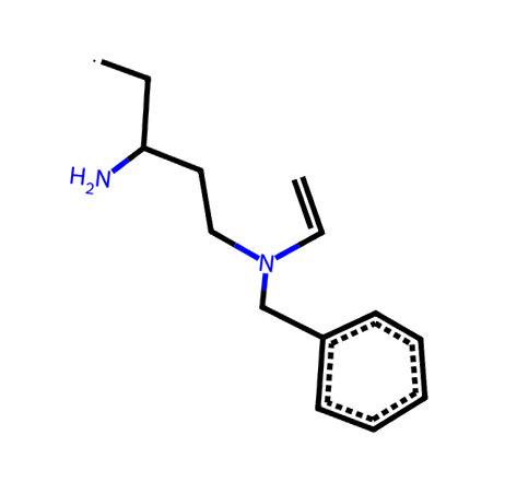 [CH2]CC(N)CCN(C=C)Cc1ccccc1